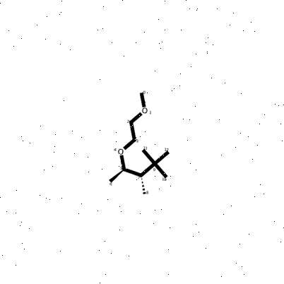 COCCO[C@H](C)[C@@H](C)C(C)(C)C